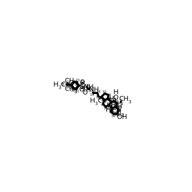 CC[C@H]1[C@@H](O)[C@@H]2[C@H](CC[C@]3(C)[C@@H](CCCNC(=O)NS(=O)(=O)c4ccc(C(C)(C)C)cc4)CC[C@@H]23)[C@@]2(C)CC[C@@H](O)C[C@@H]12